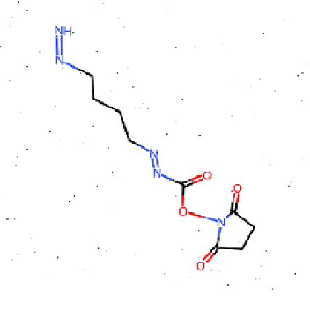 N=NCCCCN=NC(=O)ON1C(=O)CCC1=O